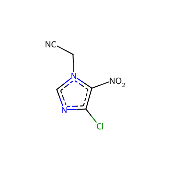 N#CCn1cnc(Cl)c1[N+](=O)[O-]